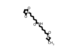 CC1CN(C(=O)CCCCCNC(=O)CCCCCN2C(=O)C=CC2=O)C1